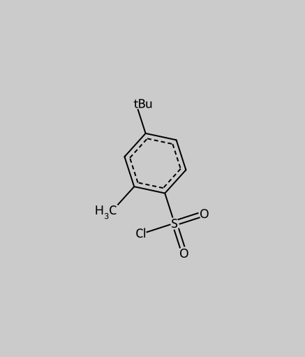 Cc1cc(C(C)(C)C)ccc1S(=O)(=O)Cl